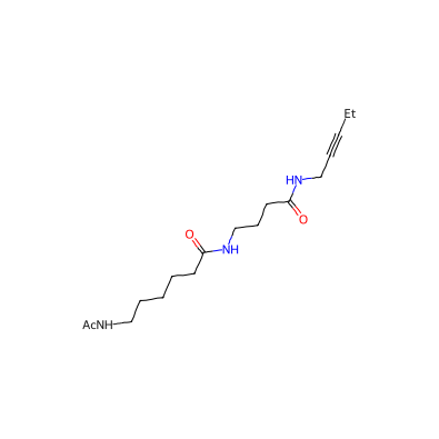 CCC#CCNC(=O)CCCNC(=O)CCCCCNC(C)=O